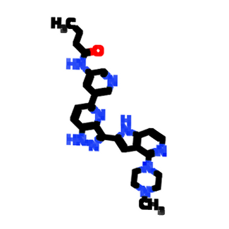 CCCC(=O)Nc1cncc(-c2ccc3[nH]nc(-c4cc5c(N6CCN(C)CC6)nccc5[nH]4)c3n2)c1